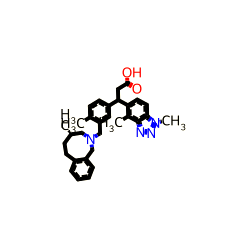 Cc1ccc(C(CC(=O)O)c2ccc3c(nnn3C)c2C)cc1CN1Cc2ccccc2CC[C@@H](C)C1